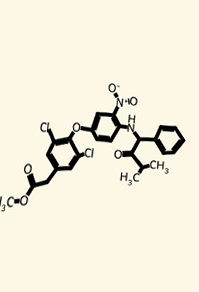 COC(=O)Cc1cc(Cl)c(Oc2ccc(NC(C(=O)C(C)C)c3ccccc3)c([N+](=O)[O-])c2)c(Cl)c1